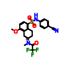 COc1ccc(S(=O)(=O)Nc2ccc(C#N)cc2)c2c1C[C@@H](N(C)C(=O)C(F)(F)F)CC2